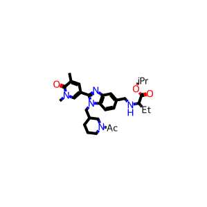 CCC(NCc1ccc2c(c1)nc(-c1cc(C)c(=O)n(C)c1)n2CC1CCCN(C(C)=O)C1)C(=O)OC(C)C